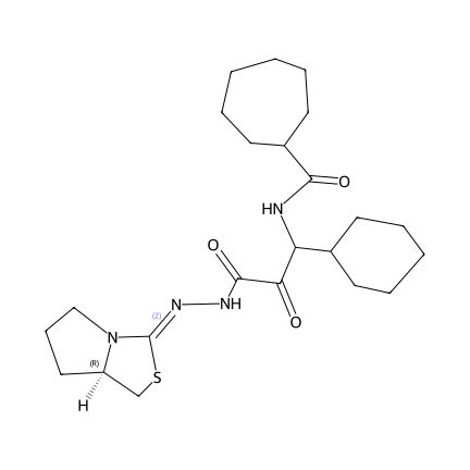 O=C(N/N=C1\SC[C@H]2CCCN12)C(=O)C(NC(=O)C1CCCCCC1)C1CCCCC1